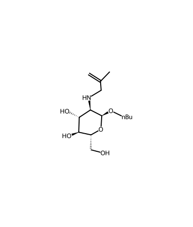 C=C(C)CN[C@H]1[C@@H](OCCCC)O[C@H](CO)[C@@H](O)[C@@H]1O